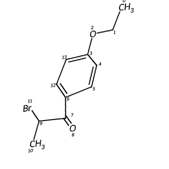 CCOc1ccc(C(=O)C(C)Br)cc1